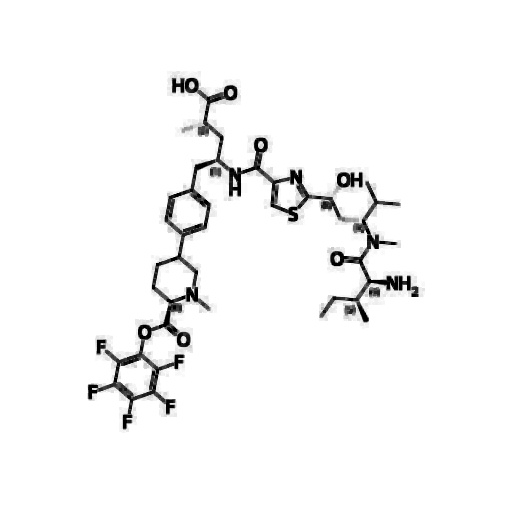 CC[C@H](C)[C@H](N)C(=O)N(C)[C@H](C[C@@H](O)c1nc(C(=O)N[C@@H](Cc2ccc(C3CC[C@H](C(=O)Oc4c(F)c(F)c(F)c(F)c4F)N(C)C3)cc2)C[C@H](C)C(=O)O)cs1)C(C)C